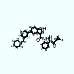 O=C(Nc1ccccc1NC(=O)C1CC1)c1n[nH]c2ccc(-c3cncc(CN4CCCCC4)c3)cc12